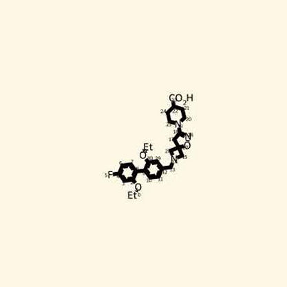 CCOc1cc(F)ccc1-c1ccc(CN2CC3(CC(N4CCC(C(=O)O)CC4)=NO3)C2)cc1OCC